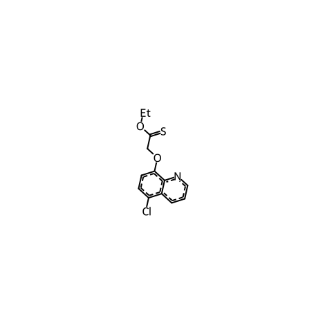 CCOC(=S)COc1ccc(Cl)c2cccnc12